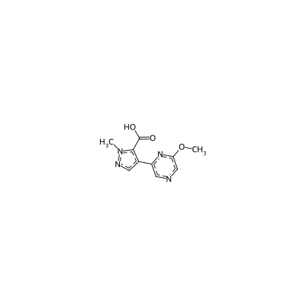 COc1cncc(-c2cnn(C)c2C(=O)O)n1